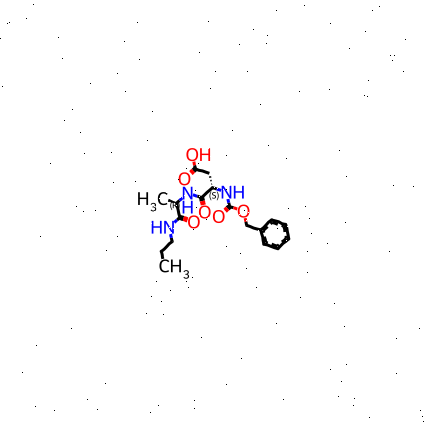 CCCNC(=O)[C@@H](C)NC(=O)[C@H](CC(=O)O)NC(=O)OCc1ccccc1